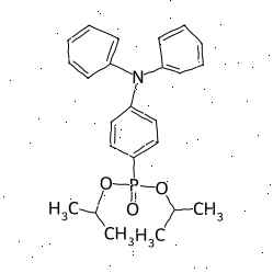 CC(C)OP(=O)(OC(C)C)c1ccc(N(c2ccccc2)c2ccccc2)cc1